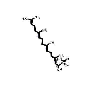 CC(C)=CCC/C(C)=C/CC/C(C)=C/CC/C(C)=C/[C@H](O)P(=O)(O)O